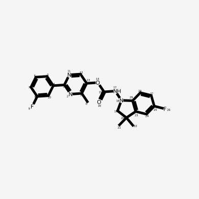 Cc1nc(-c2cccc(F)c2)ncc1OC(=O)NN1CC(C)(C)c2cc(F)ccc21